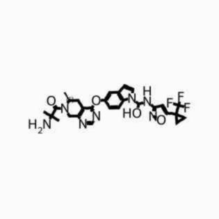 C[C@H]1Cc2c(ncnc2Oc2ccc3c(ccn3C(O)Nc3cc(C4(C(F)(F)F)CC4)on3)c2)CN1C(=O)C(C)(C)N